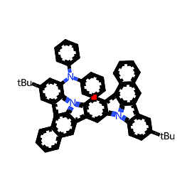 CC(C)(C)c1ccc2c(c1)c1cc3ccccc3c3c4cc5c(cc4n2c13)c1cc2ccccc2c2c3cc(C(C)(C)C)cc(N(c4ccccc4)c4ccccc4)c3n5c12